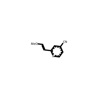 COC=Cc1cc(C#N)ccn1